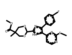 COC(=O)C1(C)COC(c2nc(-c3ccc(F)cc3)c(-c3ccnc(SC)n3)[nH]2)OC1